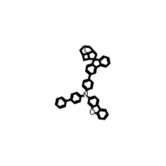 c1ccc(-c2ccc(N(c3ccc(-c4ccc5c(c4)-c4ccccc4C54C5CC6CC7CC4C7(C6)C5)cc3)c3ccc4c(c3)oc3ccccc34)cc2)cc1